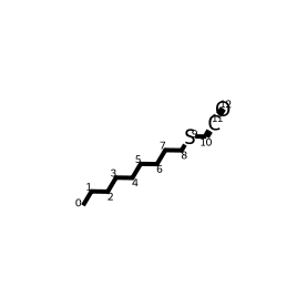 CCCCCCCCCSC=C=O